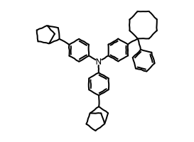 c1ccc(C2(c3ccc(N(c4ccc(C5CC6CCC5C6)cc4)c4ccc(C5CC6CCC5C6)cc4)cc3)CCCCCCC2)cc1